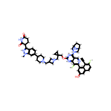 C#Cc1c(F)ccc2cc(O)cc(-c3ncc4c(N5CC6CCC(C5)N6)nc(OCC5(CN6CC(CN7CCC(c8ccc9c(C%10CCC(=O)NC%10=O)nn(C)c9c8)CC7)C6)CC5)nc4c3F)c12